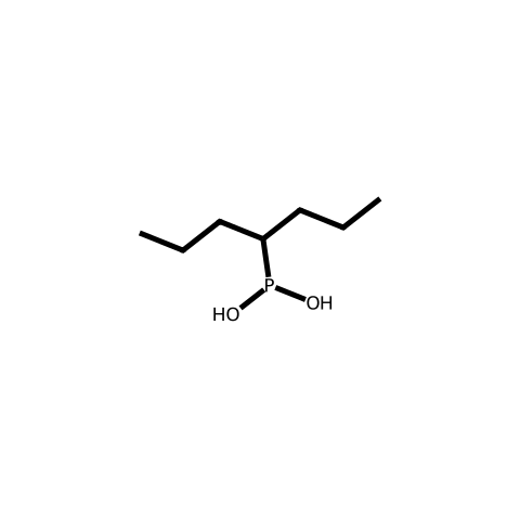 CCCC(CCC)P(O)O